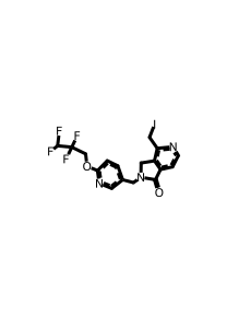 O=C1c2ccnc(CI)c2CN1Cc1ccc(OCC(F)(F)C(F)F)nc1